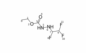 CCOC(=O)NNC(F)C(F)F